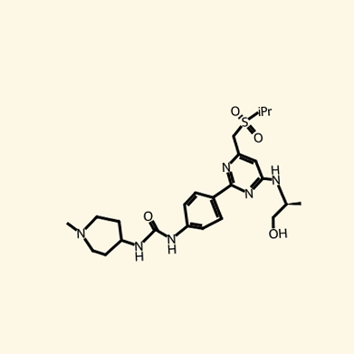 CC(C)S(=O)(=O)Cc1cc(N[C@@H](C)CO)nc(-c2ccc(NC(=O)NC3CCN(C)CC3)cc2)n1